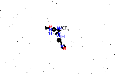 O=C(Nc1ccc(-c2nn(CC(F)(F)F)cc2-c2ccnc(Nc3cccc(CCN4CCOCC4)c3)n2)cc1)C1CC1